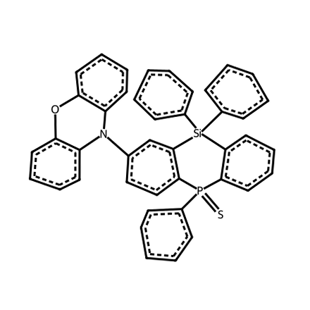 S=P1(c2ccccc2)c2ccccc2[Si](c2ccccc2)(c2ccccc2)c2cc(N3c4ccccc4Oc4ccccc43)ccc21